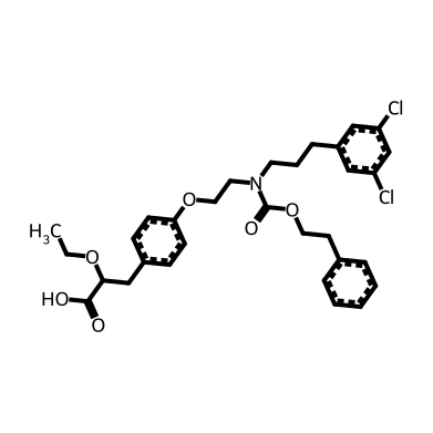 CCOC(Cc1ccc(OCCN(CCCc2cc(Cl)cc(Cl)c2)C(=O)OCCc2ccccc2)cc1)C(=O)O